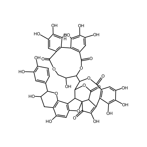 O=C1OC(C2OC(=O)c3cc(O)c(O)c(O)c3-c3c(cc(O)c(O)c3O)C(=O)OCC2O)C2OC(=O)C3C(=C(O)C(=O)C34Oc3cc(O)c5c(c3C24)OC(c2ccc(O)c(O)c2)C(O)C5)c2c1cc(O)c(O)c2O